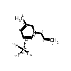 C=CCN1C=CC=C(C)C1.F[B-](F)(F)F